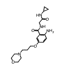 Nc1ccc(OCCCN2CCOCC2)cc1C(=O)NCC(=O)NC1CC1